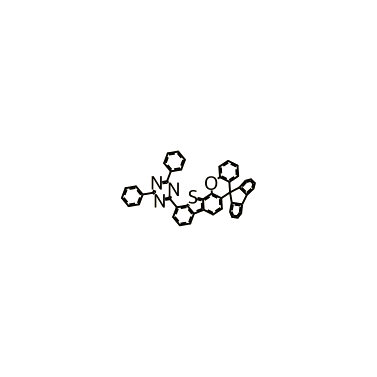 c1ccc(-c2nc(-c3ccccc3)nc(-c3cccc4c3sc3c5c(ccc34)C3(c4ccccc4O5)c4ccccc4-c4ccccc43)n2)cc1